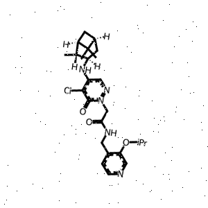 CC(C)Oc1cnccc1CNC(=O)Cn1ncc(N[C@@H]2C[C@@H]3C[C@H]([C@H]2C)C3(C)C)c(Cl)c1=O